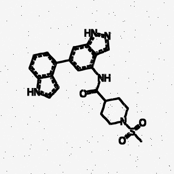 CS(=O)(=O)N1CCC(C(=O)Nc2cc(-c3cccc4[nH]ccc34)cc3[nH]ncc23)CC1